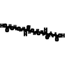 O=C(O)CCCC(=O)NCCOCCOCC(=O)NCCOCCOCC(=O)O